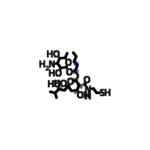 CC/C=C/[C@@H](C[C@@H]1O[C@](O)(C[C@@H](O)C(C)C)C[C@H](O)[C@H]1C(=O)NCCS)OC1OC(C)C(O)C(N)C1O